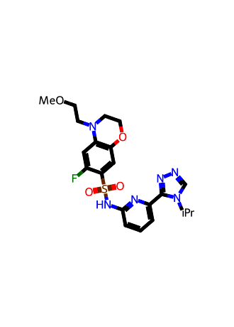 COCCN1CCOc2cc(S(=O)(=O)Nc3cccc(-c4nncn4C(C)C)n3)c(F)cc21